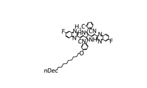 CCCCCCCCCCCCCCCCCCCOc1ccc(-c2[nH]/c(=C(/C#N)c3cnc4cc(F)ccc4n3)c3c(-c4ccccc4C)[nH]/c(=C(/C#N)c4cnc5cc(F)ccc5n4)c23)cc1